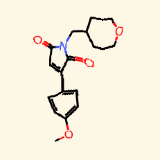 COc1ccc(C2=CC(=O)N(CC3CCOCC3)C2=O)cc1